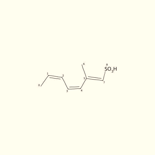 C\C=C/C=C\C(C)=C\S(=O)(=O)O